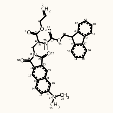 C=CCOC(=O)[C@H](CN1C(=O)c2cc3ccc(N(C)C)cc3cc2C1=O)NC(=O)OCC1c2ccccc2-c2ccccc21